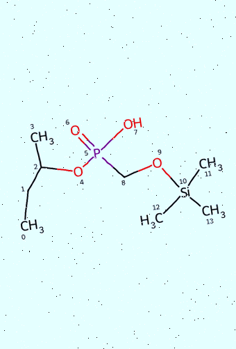 CCC(C)OP(=O)(O)CO[Si](C)(C)C